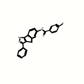 O=C(Nc1ccc2c(c1)Cc1c(-c3ccccc3)n[nH]c1-2)c1ccc(F)cc1